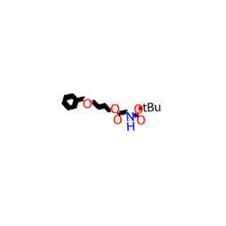 CC(C)(C)OC(=O)NCC(=O)OCC=CCOCc1ccccc1